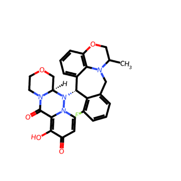 CC1COc2cccc3c2N1Cc1cccc(F)c1[C@@H]3N1[C@@H]2COCCN2C(=O)c2c(O)c(=O)ccn21